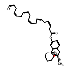 CC/C=C\C/C=C\C/C=C\C/C=C\C/C=C\C/C=C\CC(=O)Oc1ccc2c(c1)[C@]13CCCC[C@@H]1[C@H](C2)N(C)CC3